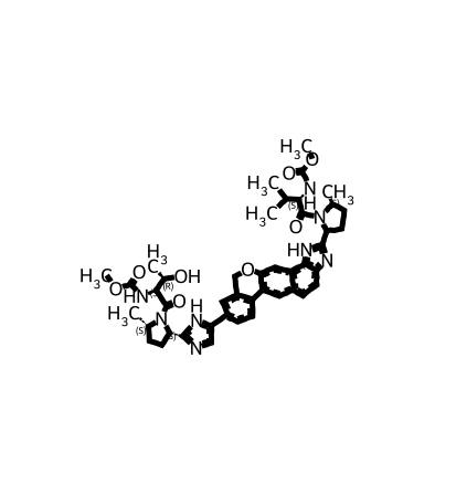 COC(=O)N[C@H](C(=O)N1C(c2nc3ccc4cc5c(cc4c3[nH]2)OCc2cc(-c3cnc([C@@H]4CC[C@H](C)N4C(=O)[C@@H](NC(=O)OC)[C@@H](C)O)[nH]3)ccc2-5)CC[C@@H]1C)C(C)C